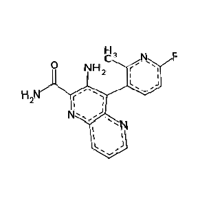 Cc1nc(F)ccc1-c1c(N)c(C(N)=O)nc2cccnc12